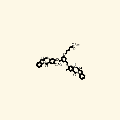 COC(=O)CCCCOc1cc(COc2cc3c(cc2C)C(=O)N2c4ccccc4C[C@H]2CN3)cc(COc2cc3c(cc2OC)C(=O)N2c4ccccc4C[C@H]2C=N3)c1